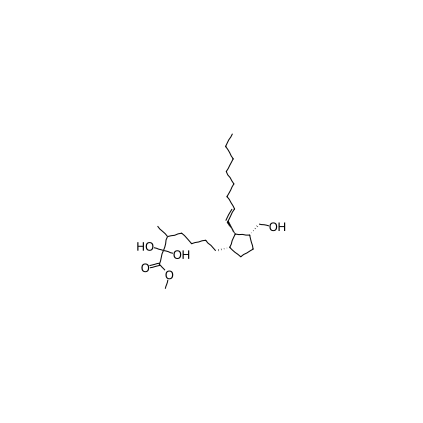 CCCCCCC=C[C@@H]1[C@@H](CCCCC(C)C(O)(O)C(=O)OC)CC[C@H]1CO